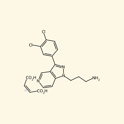 NCCCn1nc(-c2ccc(Cl)c(Cl)c2)c2cnccc21.O=C(O)/C=C\C(=O)O